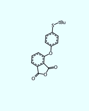 CC(C)(C)Sc1ccc(Oc2cccc3c2C(=O)OC3=O)cc1